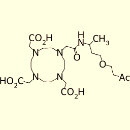 CC(=O)CCOCCC(C)NC(=O)CN1CCN(CC(=O)O)CCN(CC(=O)O)CCN(CC(=O)O)CC1